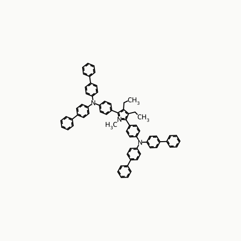 CCc1c(CC)c(-c2ccc(N(c3ccc(-c4ccccc4)cc3)c3ccc(-c4ccccc4)cc3)cc2)n(C)c1-c1ccc(N(c2ccc(-c3ccccc3)cc2)c2ccc(-c3ccccc3)cc2)cc1